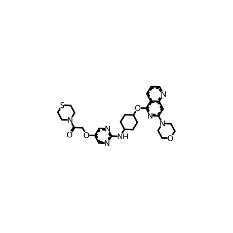 O=C(COc1cnc(NC2CCC(Oc3nc(N4CCOCC4)cc4ncccc34)CC2)nc1)N1CCSCC1